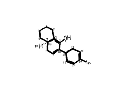 OC1=C2CCCC[C@@H]2CC=C1C1C=CC(I)=CC1